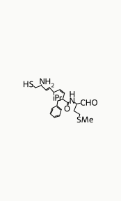 CSCCC(C=O)NC(=O)C(/C=C\C(/C=C/C(N)CS)C(C)C)Cc1ccccc1